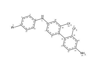 CC(C)c1ccc(Nc2ccc(-c3ccc(N)cc3C(F)(F)F)c(C(F)(F)F)c2)cc1